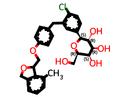 Cc1cccc2c1C(COc1ccc(Cc3cc([C@@H]4O[C@H](CO)[C@@H](O)[C@H](O)[C@H]4O)ccc3Cl)cc1)OC2